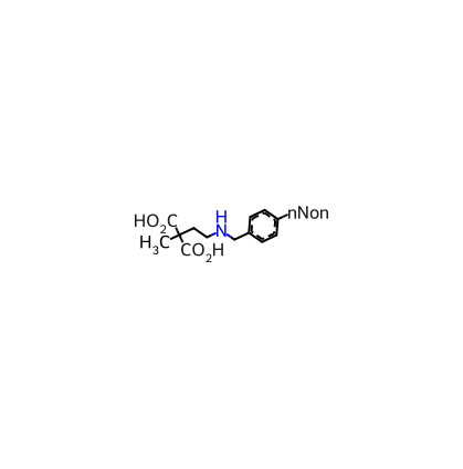 CCCCCCCCCc1ccc(CNCCC(C)(C(=O)O)C(=O)O)cc1